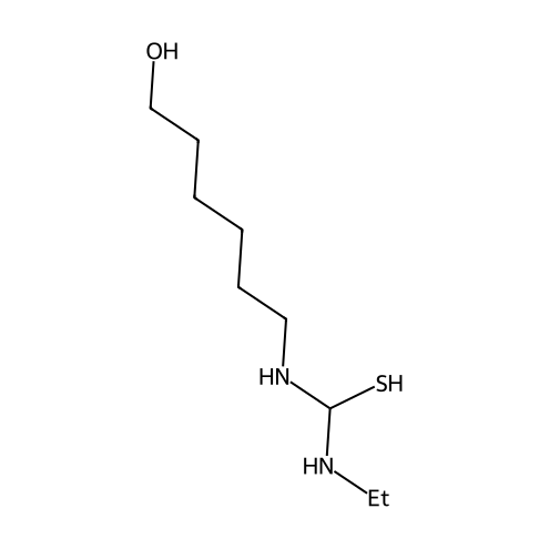 CCNC(S)NCCCCCCO